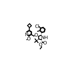 CCOC(=O)[C@H]1N[C@@H](c2cccc(Cl)c2C)[C@@H](OCc2cc(C3CCC3)cnc2OC)[C@@H]1C(C)(C)C